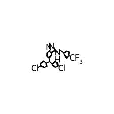 FC(F)(F)c1ccc(CNc2cnnc3ccc(C(c4ccc(Cl)cc4)c4ccc(Cl)cc4)cc23)cc1